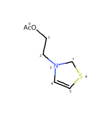 CC(=O)OCCN1C=CSC1